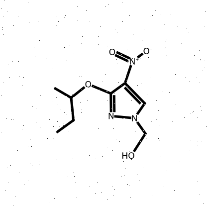 CCC(C)Oc1nn(CO)cc1[N+](=O)[O-]